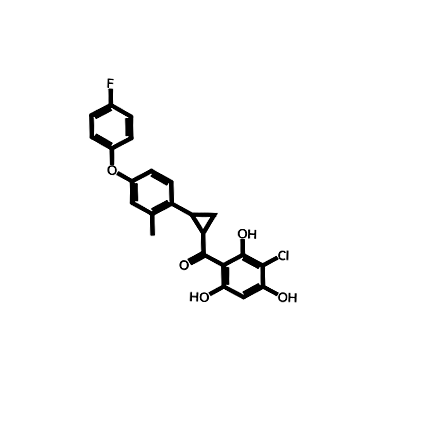 Cc1cc(Oc2ccc(F)cc2)ccc1C1CC1C(=O)c1c(O)cc(O)c(Cl)c1O